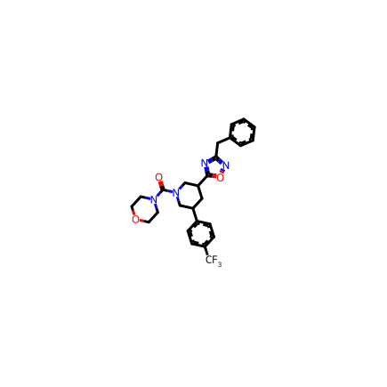 O=C(N1CCOCC1)N1CC(c2ccc(C(F)(F)F)cc2)CC(c2nc(Cc3ccccc3)no2)C1